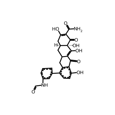 NC(=O)C1=C(O)C[C@@H]2CC3Cc4c(-c5cccc(NC=O)c5)ccc(O)c4C(=O)C3=C(O)[C@]2(O)C1=O